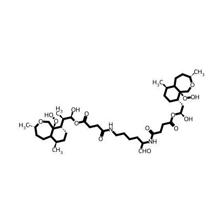 C[C@@H]([C@@H](O)OC(=O)CCC(=O)NCCCCC(C=O)NC(=O)CCC(=O)O[C@H](O)C[C@@H]1CC[C@@H](C)C2CC[C@H](C)OC[C@@]21OO)[C@@H]1CC[C@@H](C)C2CC[C@H](C)OC[C@@]21OO